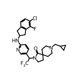 O=C1N(C(c2ccc(NC3Cc4ccc(Cl)c(F)c4C3)nc2)C(F)(F)F)CCC12CCN(CC1CC1)CC2